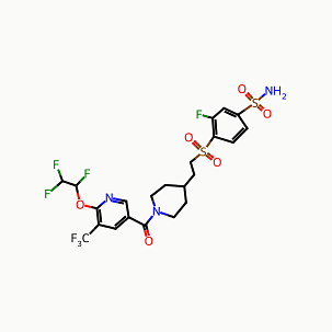 NS(=O)(=O)c1ccc(S(=O)(=O)CCC2CCN(C(=O)c3cnc(OC(F)C(F)F)c(C(F)(F)F)c3)CC2)c(F)c1